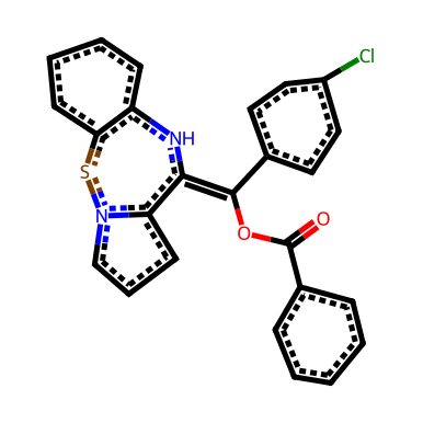 O=C(O/C(c1ccc(Cl)cc1)=c1/[nH]c2ccccc2sn2cccc12)c1ccccc1